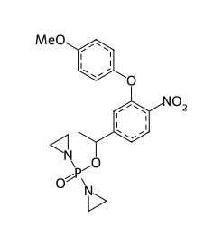 COc1ccc(Oc2cc(C(C)OP(=O)(N3CC3)N3CC3)ccc2[N+](=O)[O-])cc1